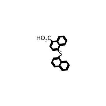 O=C(O)c1ccc(Sc2cccc3ccccc23)c2ccccc12